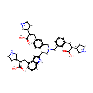 O=C(O)C(Cc1cccc(CN(CCc2cc3c(CC(C(=O)O)C4CCNC4)cccc3[nH]2)Cc2cccc(CC(C(=O)O)C3CCNC3)c2)c1)C1CCNC1